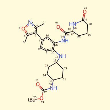 Cc1noc(C)c1-c1ccc(NC2CCC(NC(=O)OC(C)(C)C)CC2)c(NC(=O)[C@@H]2CCCC(=O)N2)c1